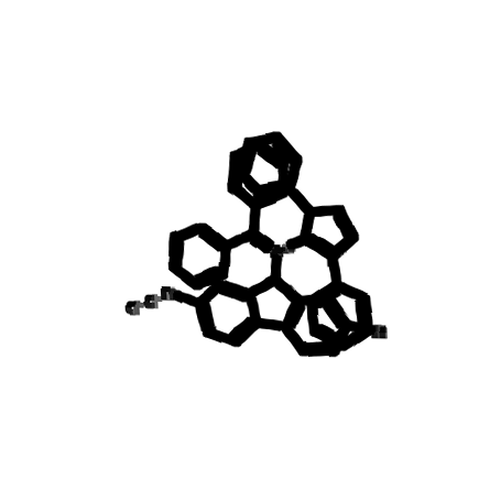 CCc1ccc2c(c1)[CH]([Zr+2]([C]1=C(c3ccccc3)C=CC1c1ccccc1)=[C](c1ccccc1)c1ccccc1)c1cc(CC)ccc1-2.[Cl-].[Cl-]